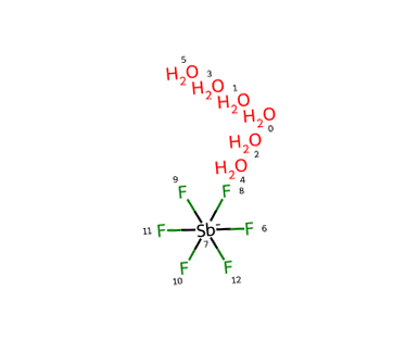 O.O.O.O.O.O.[F][Sb-]([F])([F])([F])([F])[F]